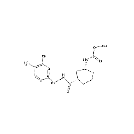 CC(C)(C)OC(=O)N[C@@H]1CCC[C@H](C(=O)NNc2cc(C#N)c(C(F)(F)F)cn2)C1